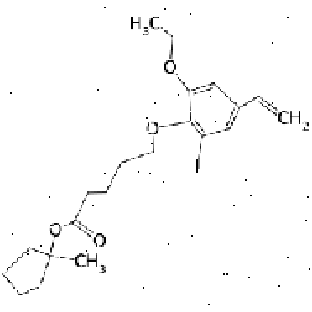 C=Cc1cc(I)c(OCCCCC(=O)OC2(C)CCCC2)c(OCC)c1